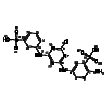 Nc1ccc(Nc2nc(Cl)nc(Nc3cccc(S(=O)(=O)O)c3)n2)cc1S(=O)(=O)O